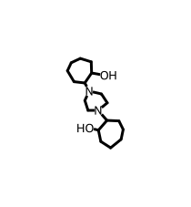 OC1CCCCCC1N1CCN(C2CCCCCC2O)CC1